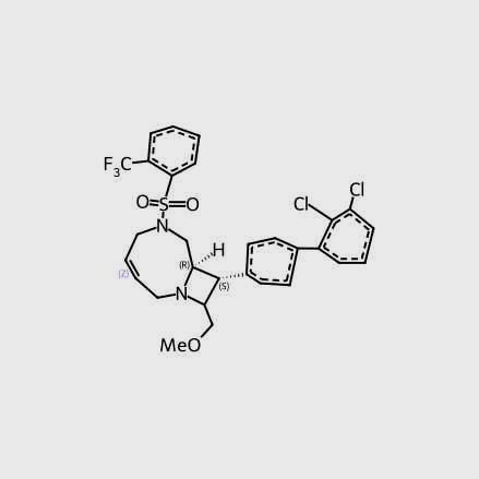 COCC1[C@@H](c2ccc(-c3cccc(Cl)c3Cl)cc2)[C@@H]2CN(S(=O)(=O)c3ccccc3C(F)(F)F)C/C=C\CN12